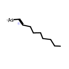 CCCCCCC/C=C/[As]